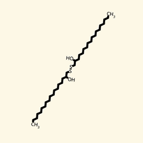 CCCCCCCCCCCCCCCCC(O)CSSCC(O)CCCCCCCCCCCCCCCC